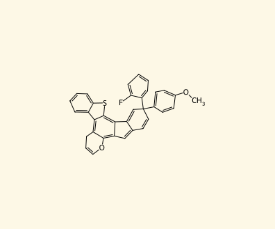 COc1ccc(C2(c3ccccc3F)C=CC3=Cc4c5c(c6c(sc7ccccc76)c4C3=C2)CC=CO5)cc1